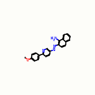 COc1ccc(-c2ccc(N=Nc3ccc4ccccc4c3N)cn2)cc1